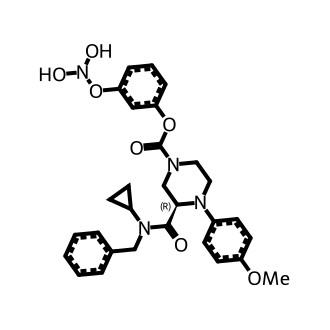 COc1ccc(N2CCN(C(=O)Oc3cccc(ON(O)O)c3)C[C@@H]2C(=O)N(Cc2ccccc2)C2CC2)cc1